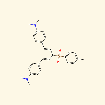 Cc1ccc(S(=O)(=O)C(C=Cc2ccc(N(C)C)cc2)C=Cc2ccc(N(C)C)cc2)cc1